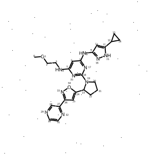 COCCNc1cc(Nc2cc(C3CC3)[nH]n2)nc(N2CCCC2c2cc(-c3cnccn3)no2)n1